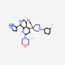 C[C@@H]1COCCN1c1cc(C2(C#N)CCN(c3cccc(F)c3)CC2)c2ccnc(-c3ccn[nH]3)c2n1